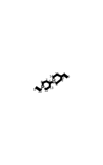 C=CC1CCB(C2CCP(C=C)CC2)CC1